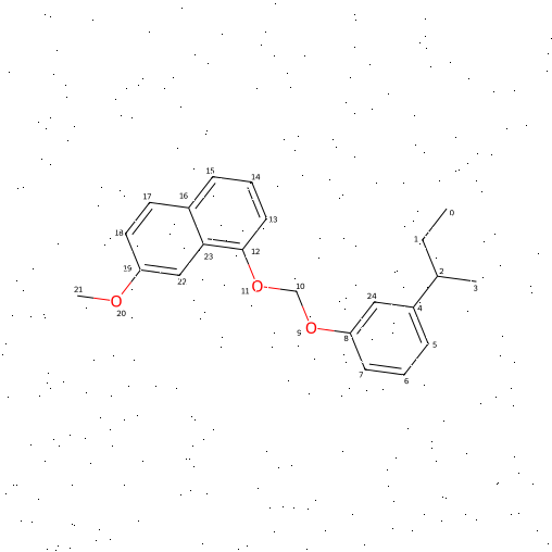 CCC(C)c1cccc(OCOc2cccc3ccc(OC)cc23)c1